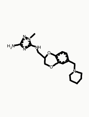 Cn1nc(N)nc1NCC1COc2cc(CN3CCCCC3)ccc2O1